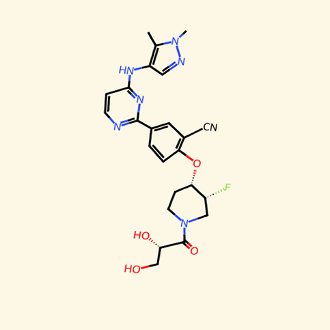 Cc1c(Nc2ccnc(-c3ccc(O[C@H]4CCN(C(=O)[C@@H](O)CO)C[C@H]4F)c(C#N)c3)n2)cnn1C